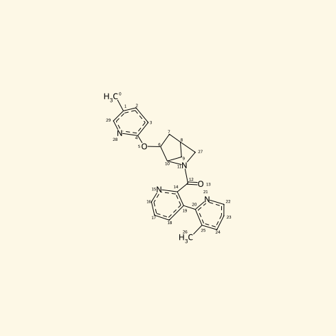 Cc1ccc(OC2CC3CC2N(C(=O)c2ncccc2-c2ncccc2C)C3)nc1